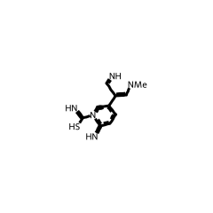 CN/C=C(\C=N)c1ccc(=N)n(C(=N)S)c1